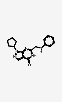 O=c1[nH]c(CNc2ccccc2)nc2c1cnn2C1CCCC1